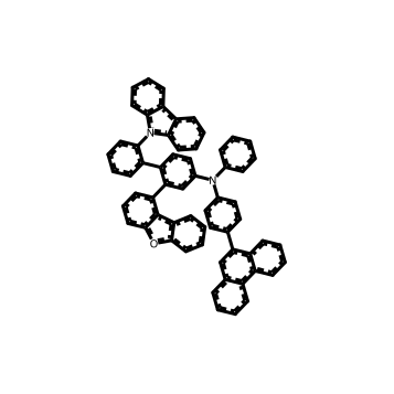 c1ccc(N(c2ccc(-c3cc4ccccc4c4ccccc34)cc2)c2ccc(-c3ccccc3-n3c4ccccc4c4ccccc43)c(-c3cccc4oc5ccccc5c34)c2)cc1